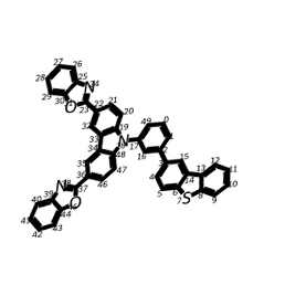 c1cc(-c2ccc3sc4ccccc4c3c2)cc(-n2c3ccc(-c4nc5ccccc5o4)cc3c3cc(-c4nc5ccccc5o4)ccc32)c1